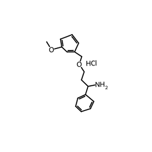 COc1cccc(COCCC(N)c2ccccc2)c1.Cl